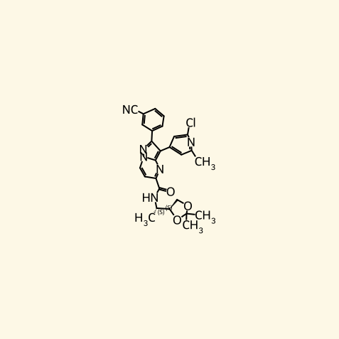 Cc1cc(-c2c(-c3cccc(C#N)c3)nn3ccc(C(=O)N[C@@H](C)[C@H]4COC(C)(C)O4)nc23)cc(Cl)n1